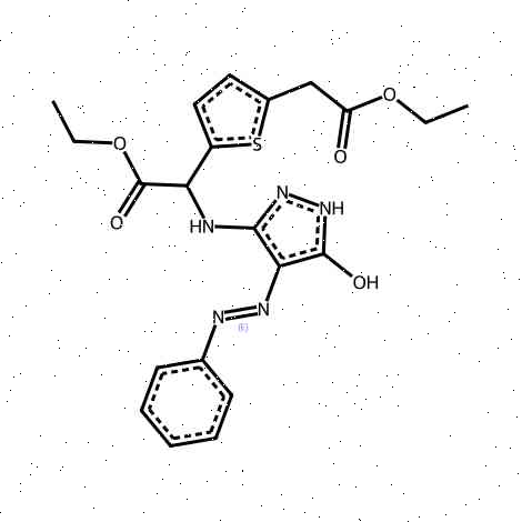 CCOC(=O)Cc1ccc(C(Nc2n[nH]c(O)c2/N=N/c2ccccc2)C(=O)OCC)s1